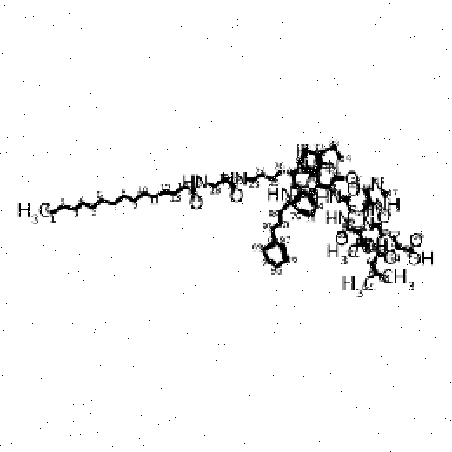 CCCCCCCCCCCCCCCC(=O)NCCC(=O)NCCCC[C@H](NC(=O)[C@@H]1CCCN1C(=O)[C@@H](NC(=O)[C@H](Cc1cnc[nH]1)NC(=O)[C@@H](NC(=O)[C@H](CCC(=O)O)NC(=O)CC(C)C)[C@@H](C)O)C(c1ccccc1)c1ccccc1)C(=O)NCCCCc1ccccc1